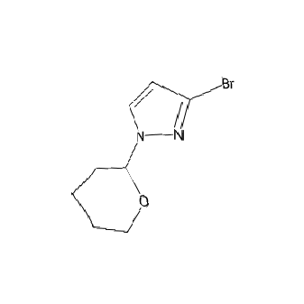 Brc1ccn(C2CCCCO2)n1